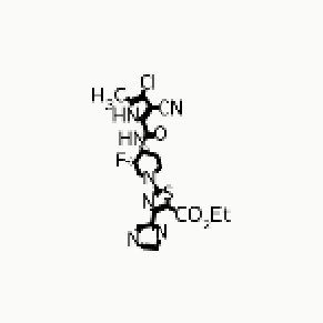 CCOC(=O)c1sc(N2CC[C@@H](NC(=O)c3[nH]c(C)c(Cl)c3C#N)[C@@H](F)C2)nc1-c1cnccn1